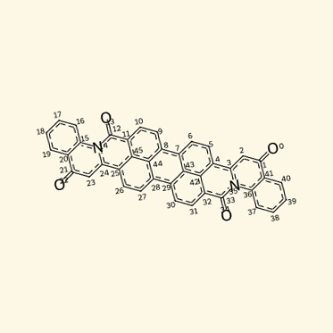 O=c1cc2c3ccc4c5ccc6c(=O)n7c8ccccc8c(=O)cc7c7ccc(c8ccc(c(=O)n2c2ccccc12)c3c84)c5c67